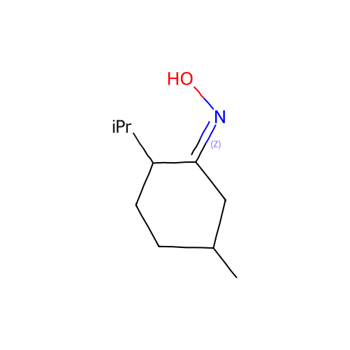 CC1CCC(C(C)C)/C(=N\O)C1